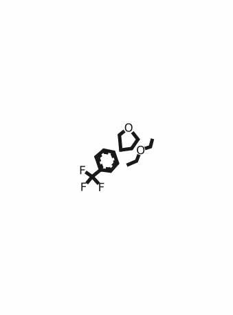 C1CCOC1.CCOCC.FC(F)(F)c1ccccc1